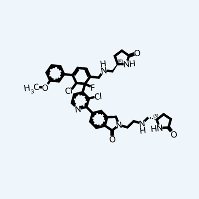 COc1cccc(C2=CC=C(CNC[C@H]3CCC(=O)N3)C(F)(c3ccnc(-c4ccc5c(c4)CN(CCNC[C@@H]4CCC(=O)N4)C5=O)c3Cl)C2Cl)c1